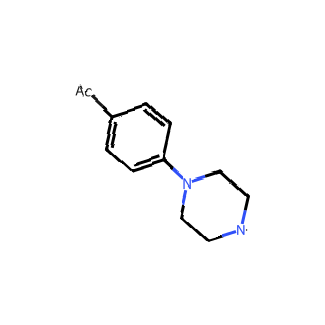 CC(=O)c1ccc(N2CC[N]CC2)cc1